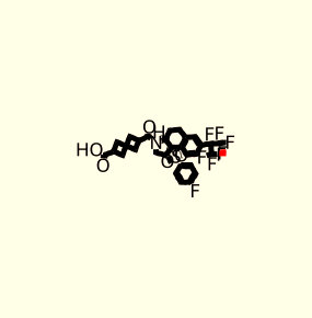 O=C(O)C1CC2(C1)CC(C(=O)N1CC[C@@]3(S(=O)(=O)c4ccc(F)cc4)c4ccc(C(F)(C(F)(F)F)C(F)(F)F)cc4CC[C@@H]13)C2